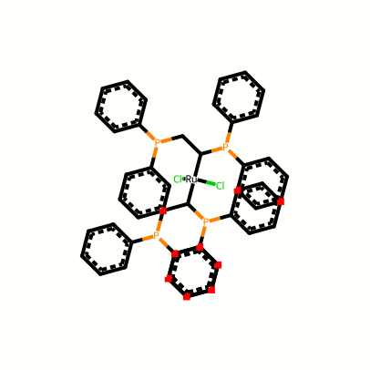 [Cl][Ru]([Cl])([CH](CP(c1ccccc1)c1ccccc1)P(c1ccccc1)c1ccccc1)[CH](CP(c1ccccc1)c1ccccc1)P(c1ccccc1)c1ccccc1